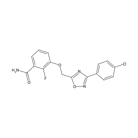 NC(=O)c1cccc(OCc2nc(-c3ccc(Cl)cc3)no2)c1F